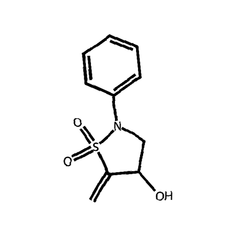 C=C1C(O)CN(c2ccccc2)S1(=O)=O